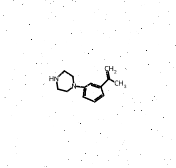 C=C(C)c1cccc(N2CCNCC2)c1